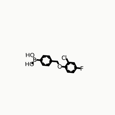 OB(O)c1ccc(COc2ccc(F)cc2Cl)cc1